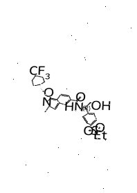 CCS(=O)(=O)c1ccc([C@H](CO)NC(=O)c2ccc3c(OC[C@H]4CC[C@H](C(F)(F)F)CC4)nc(C)cc3c2)cc1